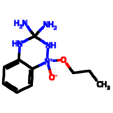 CCCO[N+]1([O-])NC(N)(N)Nc2ccccc21